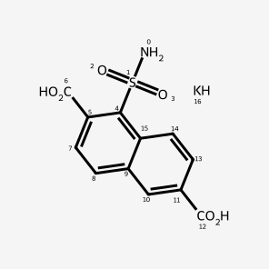 NS(=O)(=O)c1c(C(=O)O)ccc2cc(C(=O)O)ccc12.[KH]